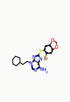 Nc1ncn(CCC2CCCCC2)c2nc(Sc3cc4c(cc3Br)OCO4)nc1-2